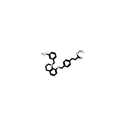 Cc1cccc(CN2CCCc3cccc(OCc4ccc(CCC(=O)ON)cc4)c32)c1